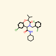 CC(C)C1Oc2ccc(Cl)cc2C(C(=O)NC2CCCCC2)N(Cc2c(F)cccc2F)C1=O